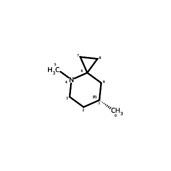 C[C@@H]1CCN(C)C2(CC2)C1